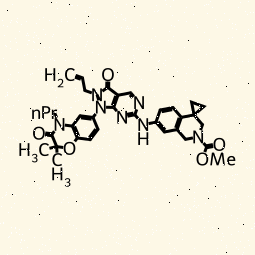 C=CCn1c(=O)c2cnc(Nc3ccc4c(c3)CN(C(=O)OC)CC43CC3)nc2n1-c1ccc2c(c1)N(CCC)C(=O)C(C)(C)O2